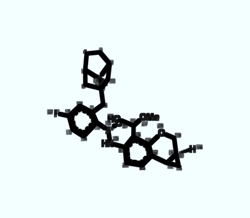 CCN1C2CCC1CC(Cc1cc(F)ccc1[S+]([O-])Nc1ccc3c(c1C(O)OC)OC[C@H]1CC31)C2